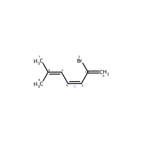 C=C(Br)/C=C\C=C(C)C